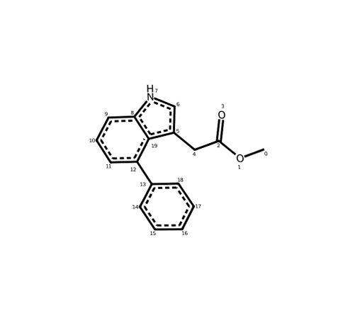 COC(=O)Cc1c[nH]c2cccc(-c3ccccc3)c12